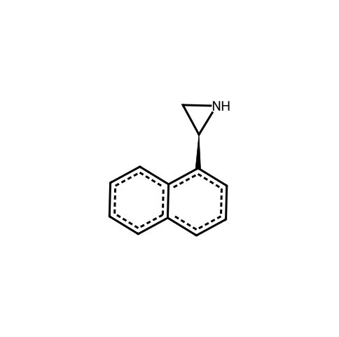 c1ccc2c([C@H]3CN3)cccc2c1